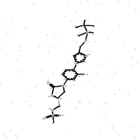 CC(C)(C)[Si](C)(C)OCc1cn(-c2ccc(N3C[C@H](COS(C)(=O)=O)OC3=O)cc2F)cn1